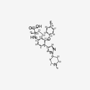 CN1CCC(n2cc(-c3ccc4c(c3Oc3ccc(F)cc3)CC[C@@](C)(C(=O)O)N4)cn2)CC1